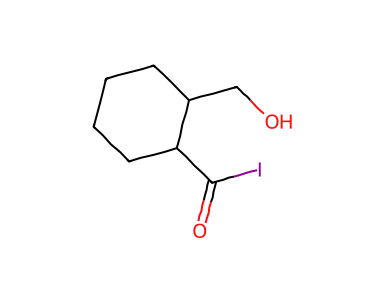 O=C(I)C1CCCCC1CO